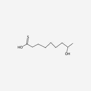 CC(O)CCCCCCC(O)=S